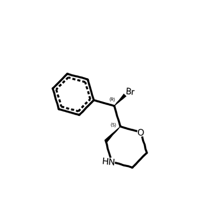 Br[C@H](c1ccccc1)[C@@H]1CNCCO1